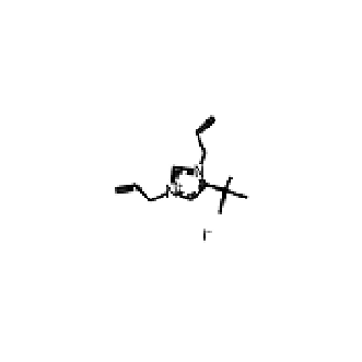 C=CCn1c[n+](CC=C)cc1C(C)(C)C.[I-]